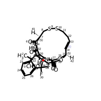 CC(C)[C@H]1NC(=O)[C@H]2CSSCC/C=C/[C@H](CC(=O)N[C@H](Cc3ccccc3C(F)(F)F)C(=O)N2)OC(=O)C[C@@H]1O